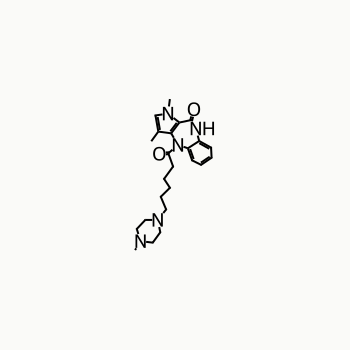 Cc1cn(C)c2c1N(C(=O)CCCCCN1CCN(C)CC1)c1ccccc1NC2=O